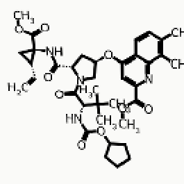 C=C[C@@H]1C[C@]1(NC(=O)[C@@H]1C[C@@H](Oc2cc(C(=O)OC)nc3c(C)c(C)ccc23)CN1C(=O)[C@@H](NC(=O)OC1CCCC1)C(C)(C)C)C(=O)OC